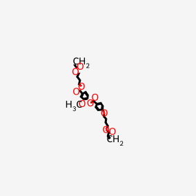 C=CC(=O)OCCCCOC(=O)c1ccc(OC(=O)c2ccc(OCCCCOC(=O)C=C)cc2)c(OC)c1